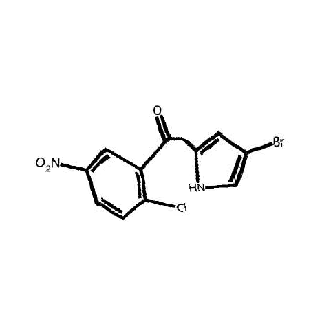 O=C(c1cc(Br)c[nH]1)c1cc([N+](=O)[O-])ccc1Cl